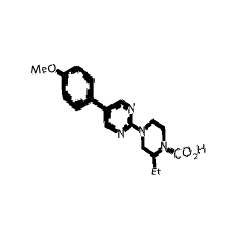 CCC1CN(c2ncc(-c3ccc(OC)cc3)cn2)CCN1C(=O)O